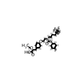 CCOC(Cc1ccc(OCCN(CCCCC(F)(F)C(F)(F)F)C(=O)Nc2ccc(F)cc2)cc1)C(=O)O